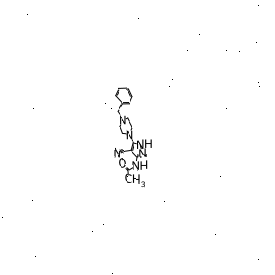 CC(=O)Nc1n[nH]c(N2CCN(Cc3ccccc3)CC2)c1C#N